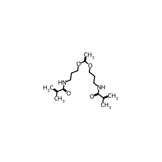 C=C(OCCCNC(=O)C(=C)C)OCCCNC(=O)C(=C)C